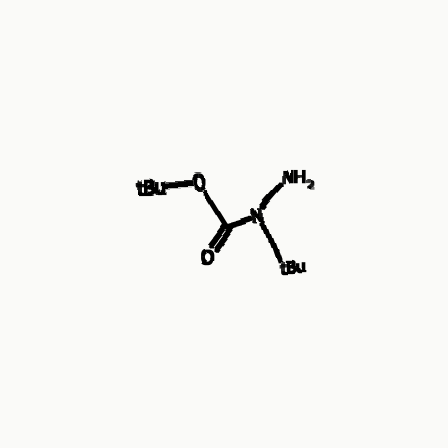 CC(C)(C)OC(=O)N(N)C(C)(C)C